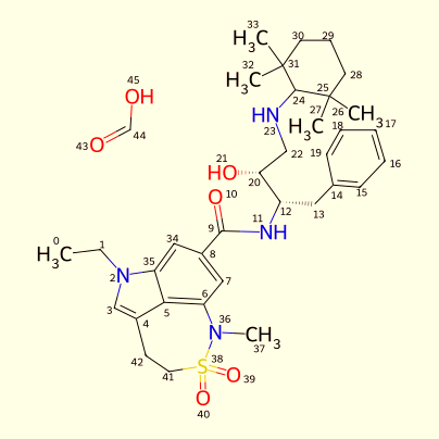 CCn1cc2c3c(cc(C(=O)N[C@@H](Cc4ccccc4)[C@H](O)CNC4C(C)(C)CCCC4(C)C)cc31)N(C)S(=O)(=O)CC2.O=CO